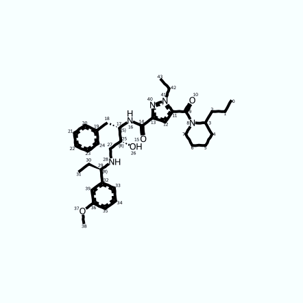 CCCC1CCCCN1C(=O)c1cc(C(=O)N[C@@H](Cc2ccccc2)[C@H](O)CN[C@H](CC)c2cccc(OC)c2)nn1CC